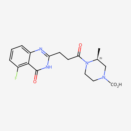 C[C@H]1CN(C(=O)O)CCN1C(=O)CCc1nc2cccc(F)c2c(=O)[nH]1